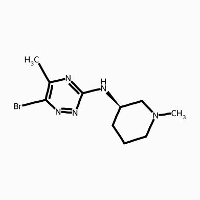 Cc1nc(N[C@@H]2CCCN(C)C2)nnc1Br